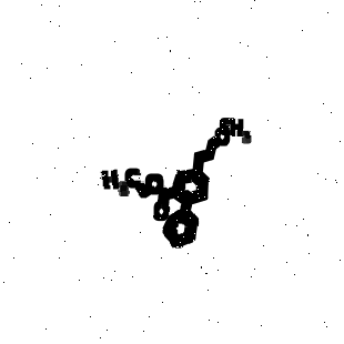 CCOC(=O)c1cc(CCCOC)ccc1-c1ccccc1